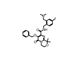 CN(C)Cc1cc(F)ccc1CNC(=O)c1nc2n(c(=O)c1OCc1ccccc1)CCOC2(C)C